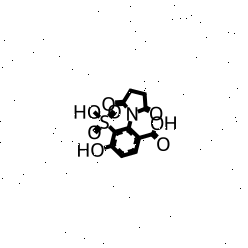 O=C(O)c1ccc(O)c(S(=O)(=O)O)c1N1C(=O)CCC1=O